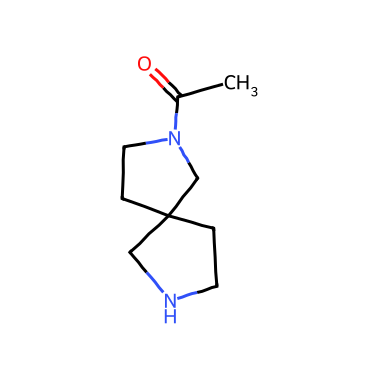 CC(=O)N1CCC2(CCNC2)C1